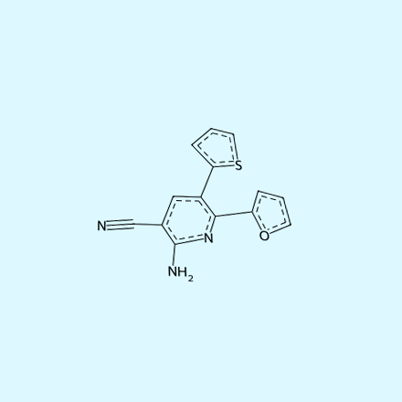 N#Cc1cc(-c2cccs2)c(-c2ccco2)nc1N